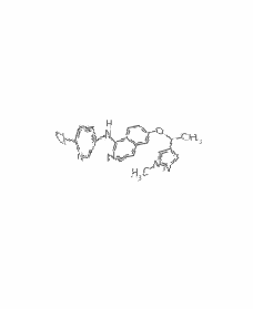 CC(Oc1ccc2c(Nc3ccc(Cl)nc3)nccc2c1)c1cnn(C)c1